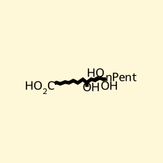 CCCCCC(O)/C(O)=C/CC(O)CCCCCCCC(=O)O